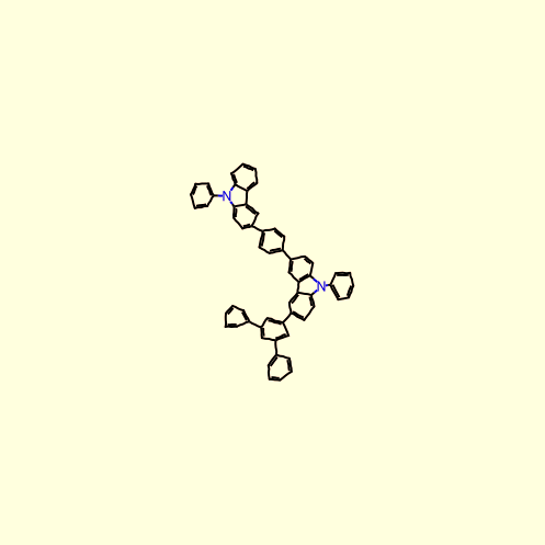 c1ccc(-c2cc(-c3ccccc3)cc(-c3ccc4c(c3)c3cc(-c5ccc(-c6ccc7c(c6)c6ccccc6n7-c6ccccc6)cc5)ccc3n4-c3ccccc3)c2)cc1